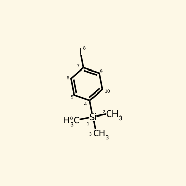 C[Si](C)(C)c1ccc(I)cc1